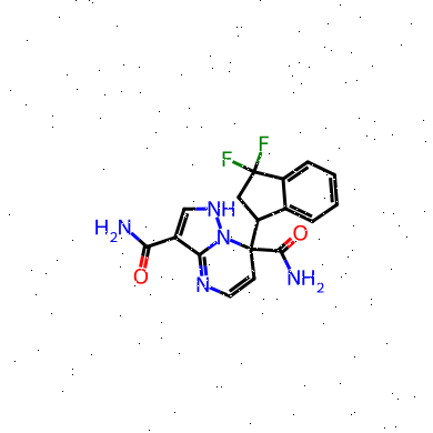 NC(=O)C1=CNN2C1=NC=CC2(C(N)=O)C1CC(F)(F)c2ccccc21